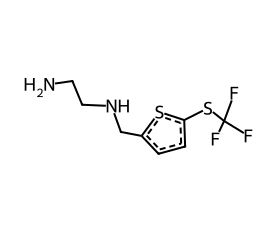 NCCNCc1ccc(SC(F)(F)F)s1